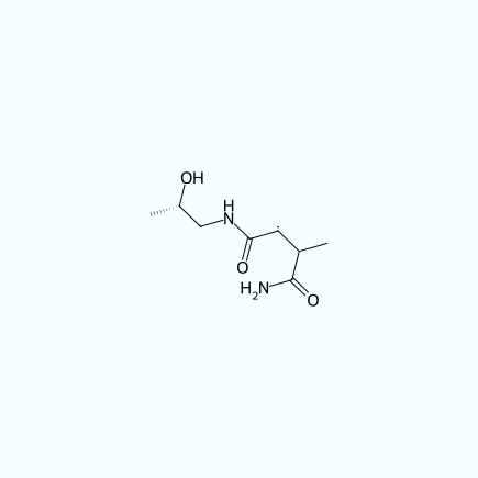 CC([CH]C(=O)NC[C@H](C)O)C(N)=O